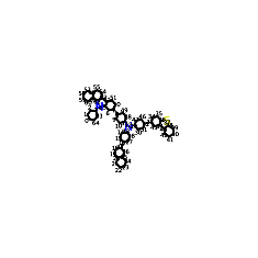 c1ccc(-n2c3cc(-c4ccc(N(c5ccc(-c6ccc7ccccc7c6)cc5)c5ccc(-c6ccc7sc8ccccc8c7c6)cc5)cc4)ccc3c3ccc4ccccc4c32)cc1